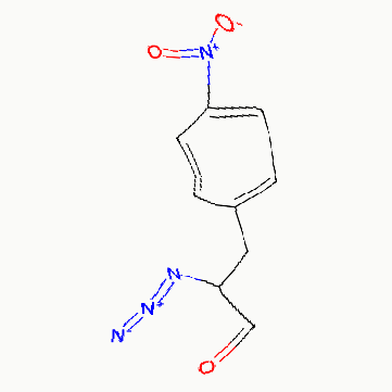 [N-]=[N+]=NC(C=O)Cc1ccc([N+](=O)[O-])cc1